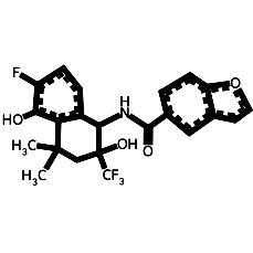 CC1(C)CC(O)(C(F)(F)F)C(NC(=O)c2ccc3occc3c2)c2ccc(F)c(O)c21